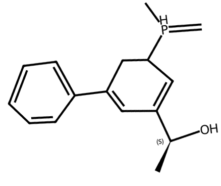 C=[PH](C)C1C=C([C@H](C)O)C=C(c2ccccc2)C1